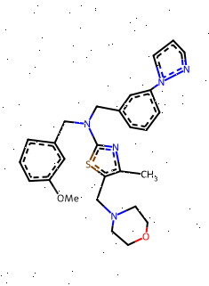 COc1cccc(CN(Cc2cccc(-n3cccn3)c2)c2nc(C)c(CN3CCOCC3)s2)c1